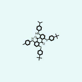 Cc1ccc(Nc2ccc(Sc3ccc(C(C)(C)C)cc3)c3c2C(=O)c2c(Nc4ccc(C(C)C)cc4)ccc(Sc4ccc(C(C)(C)C)cc4)c2C3=O)cc1